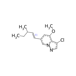 CCC(C)/C=C/c1cc(OC)c2c(Cl)cnn2c1